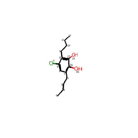 CCCCc1cc(Cl)c(CCCC)c(O)c1O